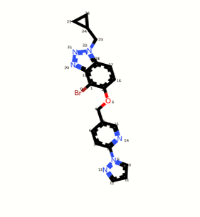 Brc1c(OCc2ccc(-n3cccn3)nc2)ccc2c1nnn2CC1CC1